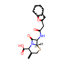 C=C1CS[C@H]2C(NC(=O)Cc3cc4ccccc4o3)C(=O)N2C1C(=O)O